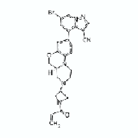 C=CC(=O)N1CC(N2CCN3c4ccc(-c5cc(Br)cn6ncc(C#N)c56)cc4OC[C@@H]3C2)C1